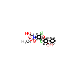 CCOC(=O)N(CC(=O)O)c1cc(Cl)c(Oc2ccc(O)c(-c3ccccc3)c2)c(Cl)c1